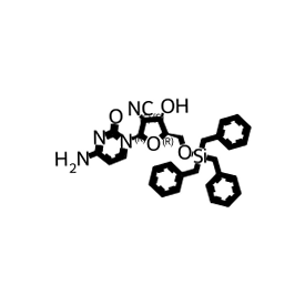 N#C[C@H]1[C@H](O)[C@@H](CO[Si](Cc2ccccc2)(Cc2ccccc2)Cc2ccccc2)O[C@H]1n1ccc(N)nc1=O